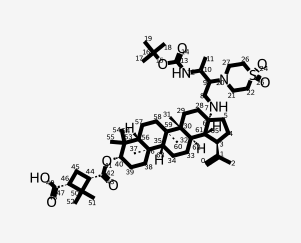 C=C(C)[C@@H]1CC[C@]2(NCC(C(C)NC(=O)OC(C)(C)C)N3CCS(=O)(=O)CC3)CC[C@]3(C)[C@H](CC[C@@H]4[C@@]5(C)CC[C@H](OC(=O)[C@H]6C[C@@H](C(=O)O)C6(C)C)C(C)(C)[C@@H]5CC[C@]43C)[C@@H]12